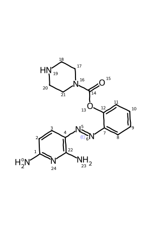 Nc1ccc(/N=N/c2ccccc2OC(=O)N2CCNCC2)c(N)n1